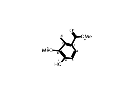 COC(=O)c1ccc(O)c(OC)c1I